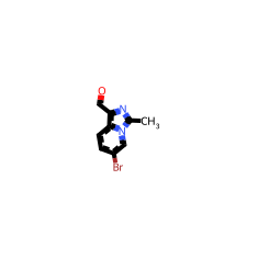 Cc1nc(C=O)c2ccc(Br)cn12